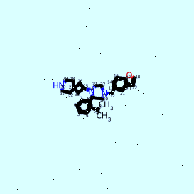 CC(C)c1ccccc1C1CN(Cc2ccc3occc3c2)CCN1C1CC2(CCNCC2)C1